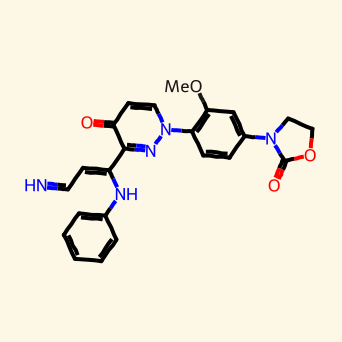 COc1cc(N2CCOC2=O)ccc1-n1ccc(=O)c(/C(=C/C=N)Nc2ccccc2)n1